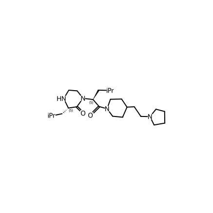 CC(C)C[C@@H]1NCCN([C@@H](CC(C)C)C(=O)N2CCC(CCN3CCCC3)CC2)C1=O